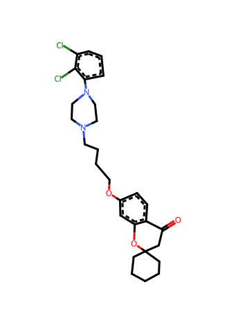 O=C1CC2(CCCCC2)Oc2cc(OCCCCN3CCN(c4cccc(Cl)c4Cl)CC3)ccc21